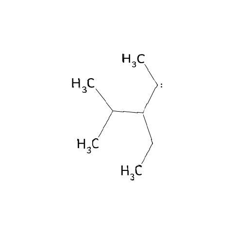 C[C]C(CC)C(C)C